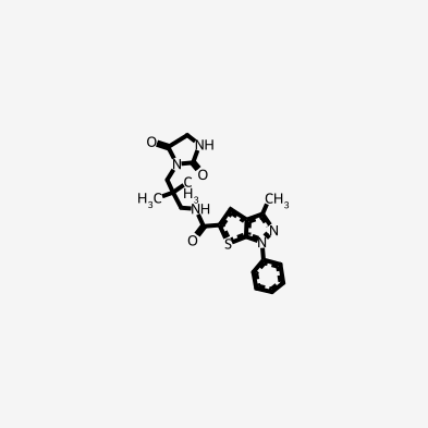 Cc1nn(-c2ccccc2)c2sc(C(=O)NCC(C)(C)CN3C(=O)CNC3=O)cc12